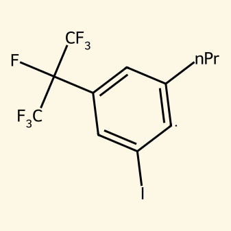 CCCc1[c]c(I)cc(C(F)(C(F)(F)F)C(F)(F)F)c1